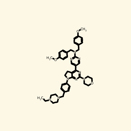 CCN1CCN(Cc2ccc(N3CCc4c(-c5cnc(N(Cc6ccc(OC)cc6)Cc6ccc(OC)cc6)nc5)nc(N5CCOCC5)nc43)cc2)CC1